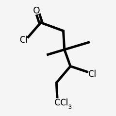 CC(C)(CC(=O)Cl)C(Cl)CC(Cl)(Cl)Cl